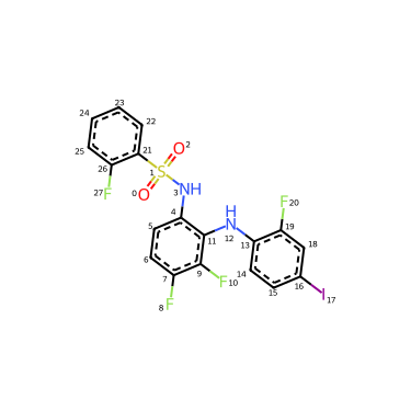 O=S(=O)(Nc1ccc(F)c(F)c1Nc1ccc(I)cc1F)c1ccccc1F